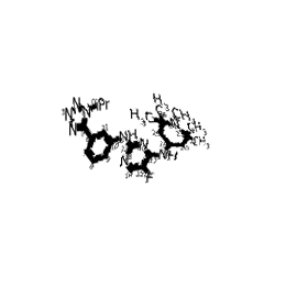 CC(C)n1nnnc1-c1cccc(Nc2ncc(F)c(NC3CC(C)(C)N(C)C(C)(C)C3)n2)c1